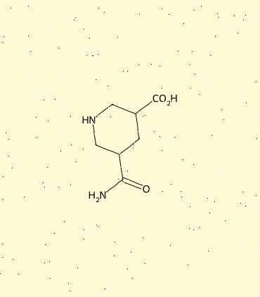 NC(=O)C1CNCC(C(=O)O)C1